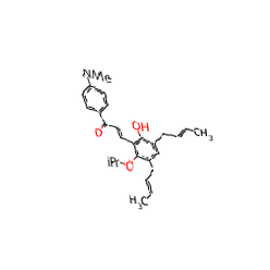 CC=CCc1cc(CC=CC)c(OC(C)C)c(C=CC(=O)c2ccc(NC)cc2)c1O